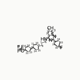 Cc1cc2c(NCCCc3ccc(-c4ccc(OC(F)(F)F)cc4)cc3)nc(-c3ccc(F)cc3)nc2s1